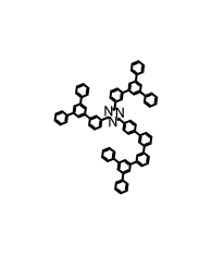 c1ccc(-c2cc(-c3ccccc3)cc(-c3cccc(-c4cccc(-c5ccc(-c6nc(-c7cccc(-c8cc(-c9ccccc9)cc(-c9ccccc9)c8)c7)nc(-c7cccc(-c8cc(-c9ccccc9)cc(-c9ccccc9)c8)c7)n6)cc5)c4)c3)c2)cc1